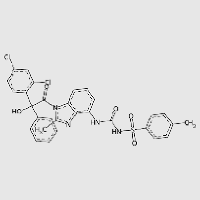 Cc1ccc(S(=O)(=O)NC(=O)Nc2cccc3c2nc(C)n3C(=O)C(O)(c2ccccc2)c2ccc(Cl)cc2Cl)cc1